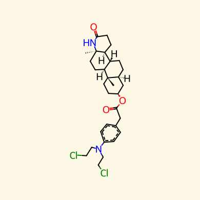 C[C@]12CC[C@H](OC(=O)Cc3ccc(N(CCCl)CCCl)cc3)C[C@@H]1CC[C@@H]1[C@@H]2CC[C@@]2(C)NC(=O)CC[C@@H]12